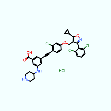 Cl.O=C(O)c1cc(C#Cc2ccc(OCc3c(-c4c(Cl)cccc4Cl)noc3C3CC3)cc2Cl)cc(NC2CCNCC2)c1